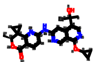 CCC(C)(O)c1cnc(OC2CC2)c2cnc(Nc3ccc4c(n3)C3(CC3)[C@@H](C)OC4=O)cc12